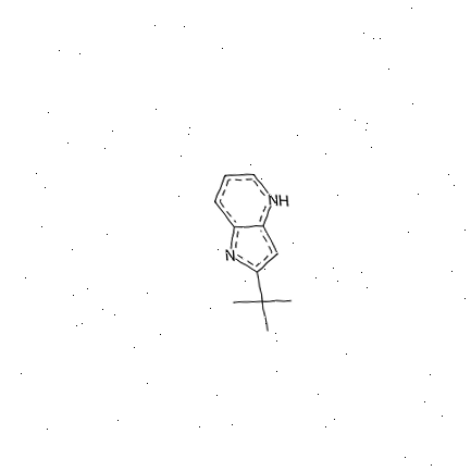 CC(C)(C)c1cc2[nH]cccc-2n1